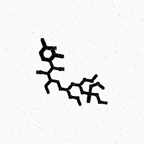 CCC(COP(OOC)OP(OOC)OP(=O)(OOC)OOC)C(O)C(O)n1ccc(=O)[nH]c1=O